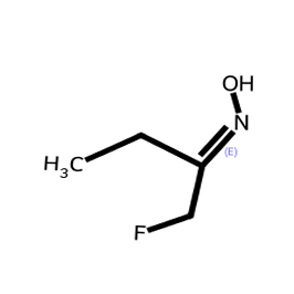 CC/C(CF)=N\O